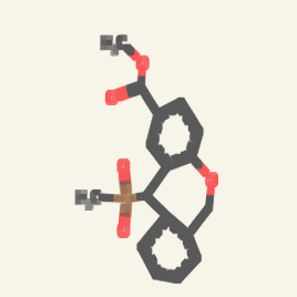 COC(=O)c1ccc2c(c1)C(S(C)(=O)=O)c1ccccc1CO2